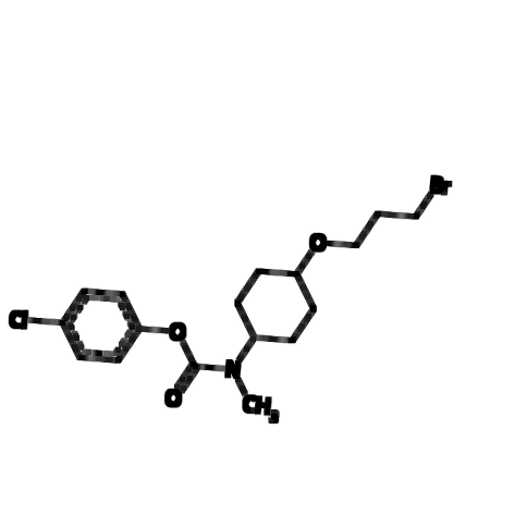 CN(C(=O)Oc1ccc(Cl)cc1)C1CCC(OCCCBr)CC1